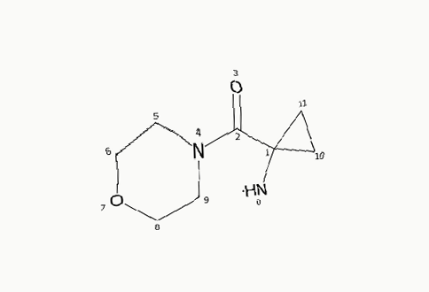 [NH]C1(C(=O)N2CCOCC2)CC1